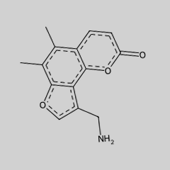 Cc1c(C)c2occ(CN)c2c2oc(=O)ccc12